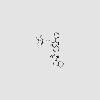 O=C(NC1CCCc2ccccc21)c1ccc2nc(-c3ccccc3)c(CCCC(F)(F)C(=O)O)nc2c1